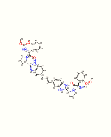 COO/C=N\[C@@H](C(=O)N1CCC[C@H]1c1nc2ccc(C=CCc3ccc4[nH]c([C@@H]5CCCN5C(=O)[C@H](NC(=O)OC)c5ccccc5)nc4c3)cc2[nH]1)c1ccccc1